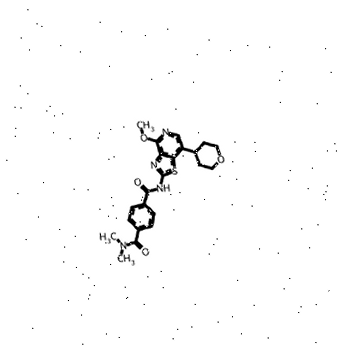 COc1ncc(C2CCOCC2)c2sc(NC(=O)c3ccc(C(=O)N(C)C)cc3)nc12